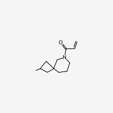 C=CC(=O)N1CCCC2(CC(C)C2)C1